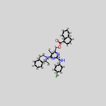 Cc1c(COC(=O)c2cccc3ccccc23)nc(Nc2ccc(F)cc2)nc1N1CCc2ccccc2C1C